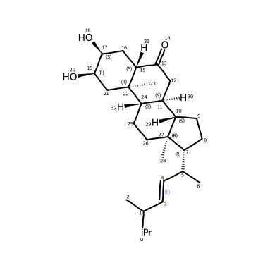 CC(C)C(C)/C=C/C(C)[C@H]1CC[C@H]2[C@@H]3CC(=O)[C@H]4C[C@H](O)[C@H](O)C[C@]4(C)[C@H]3CC[C@]12C